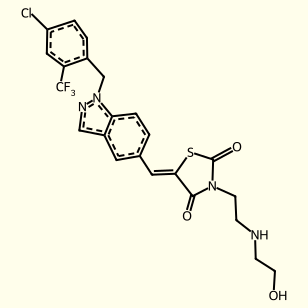 O=C1S/C(=C\c2ccc3c(cnn3Cc3ccc(Cl)cc3C(F)(F)F)c2)C(=O)N1CCNCCO